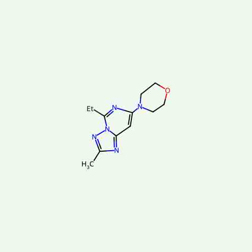 CCc1nc(N2CCOCC2)cc2nc(C)nn12